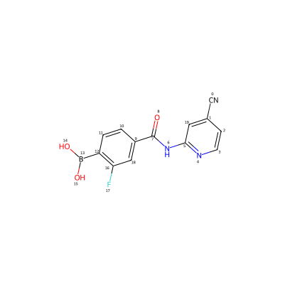 N#Cc1ccnc(NC(=O)c2ccc(B(O)O)c(F)c2)c1